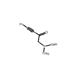 CCC#CC(=O)CP(C=O)OC